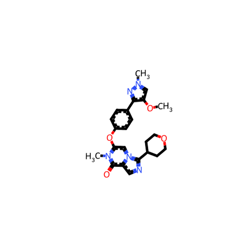 COc1cn(C)nc1-c1ccc(Oc2cn3c(C4CCOCC4)ncc3c(=O)n2C)cc1